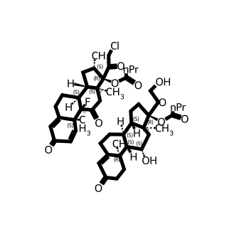 CCCC(=O)O[C@]1(C(=O)CCl)[C@@H](C)C[C@H]2[C@@H]3CCC4=CC(=O)C=C[C@]4(C)[C@@]3(F)C(=O)C[C@@]21C.CCCC(=O)O[C@]1(C(=O)CO)CC[C@H]2[C@@H]3CCC4=CC(=O)CC[C@]4(C)[C@H]3[C@@H](O)C[C@@]21C